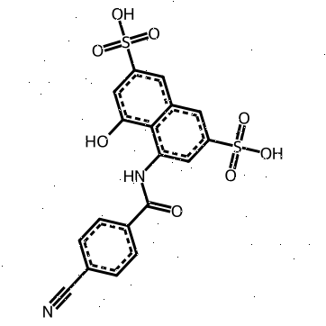 N#Cc1ccc(C(=O)Nc2cc(S(=O)(=O)O)cc3cc(S(=O)(=O)O)cc(O)c23)cc1